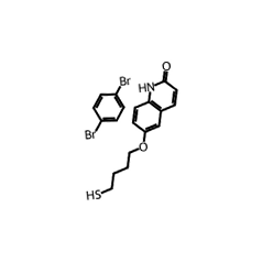 Brc1ccc(Br)cc1.O=c1ccc2cc(OCCCCS)ccc2[nH]1